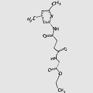 CCOC(=O)CNC(=O)CCC(=O)Nc1cc(C)cc(C)n1